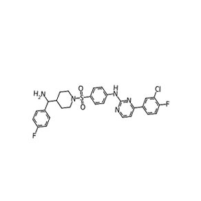 NC(c1ccc(F)cc1)C1CCN(S(=O)(=O)c2ccc(Nc3nccc(-c4ccc(F)c(Cl)c4)n3)cc2)CC1